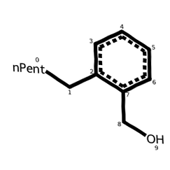 CCCCCCc1ccccc1CO